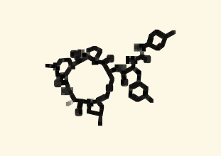 Cc1ccc(NC(=O)N[C@@H](Cc2cccc(C)c2)C(=O)N[C@H]2CO/C=C3/C[C@@H](C)CN3C(=O)[C@H](C)NC(=O)[C@@H]3CN(C)CCN3C(=O)[C@@H]3CCCN3C2=O)cc1